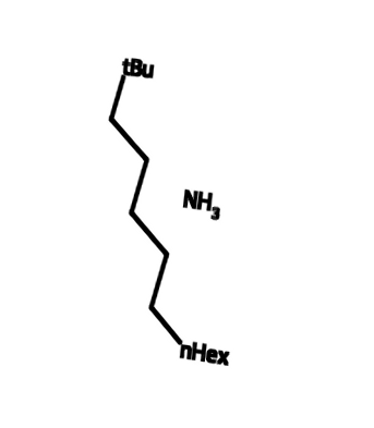 CCCCCCCCCCCC(C)(C)C.N